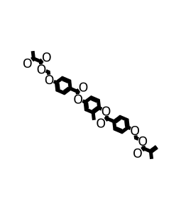 C=C(C)C(=O)OCOc1ccc(C(=O)Oc2ccc(OC(=O)c3ccc(OCOC(=O)C(C)=O)cc3)cc2C)cc1